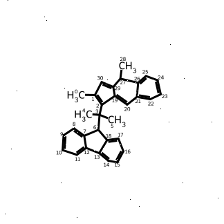 CC1=C(C(C)(C)C2c3ccccc3-c3ccccc32)C2=Cc3ccccc3C(C)C2=C1